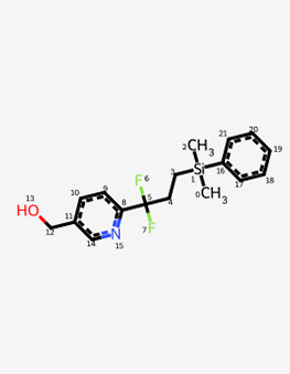 C[Si](C)(CCC(F)(F)c1ccc(CO)cn1)c1ccccc1